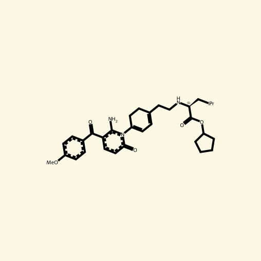 COc1ccc(C(=O)c2ccc(=O)n(C3=CC=C(CCN[C@@H](CC(C)C)C(=O)OC4CCCC4)CC3)c2N)cc1